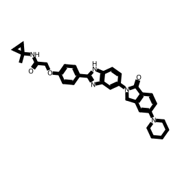 CC1(NC(=O)COc2ccc(-c3nc4cc(N5Cc6cc(N7CCCCC7)ccc6C5=O)ccc4[nH]3)cc2)CC1